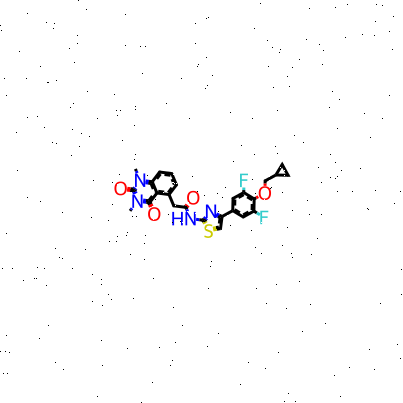 Cn1c(=O)c2c(CC(=O)Nc3nc(-c4cc(F)c(OCC5CC5)c(F)c4)cs3)cccc2n(C)c1=O